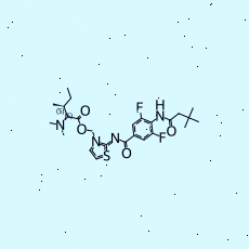 CC[C@H](C)[C@@H](C(=O)OCn1ccsc1=NC(=O)c1cc(F)c(NC(=O)CC(C)(C)C)c(F)c1)N(C)C